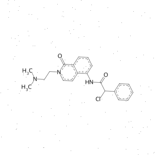 CN(C)CCn1ccc2c(NC(=O)C(Cl)c3ccccc3)cccc2c1=O